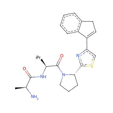 CC(C)[C@H](NC(=O)[C@H](C)N)C(=O)N1CCC[C@H]1c1nc(C2=CCc3ccccc32)cs1